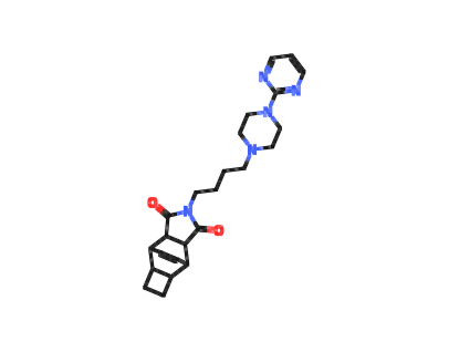 O=C1C2C3C=CC(C4CCC34)C2C(=O)N1CCCCN1CCN(c2ncccn2)CC1